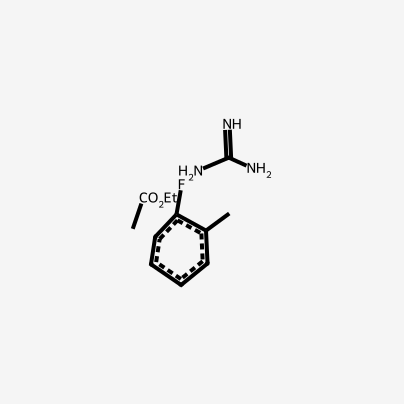 CCOC(C)=O.Cc1ccccc1F.N=C(N)N